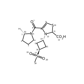 C[C@H]1CCCN1C(=O)C1=CSC(C(=O)O)N1[C@H]1C[C@H](S(C)(=O)=O)C1